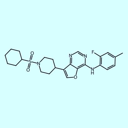 Cc1ccc(Nc2ncnc3c(C4CCN(S(=O)(=O)C5CCCCC5)CC4)coc23)c(F)c1